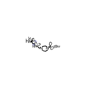 C/C=N\C(=C/C(=N)Cl)NC(=O)CN1CCCN(C(=O)OC(C)(C)C)CC1